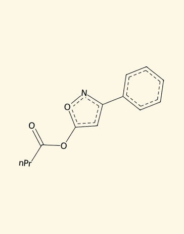 CCCC(=O)Oc1cc(-c2ccccc2)no1